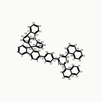 c1ccc2c(c1)-c1ccc(-c3ccc(-c4nc(-c5cccc6ccccc56)nc(-c5cccc6ccccc56)n4)cc3)cc1C21c2ccccc2-n2c3ccccc3c3cccc1c32